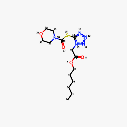 CCCCCCOC(=O)Cn1nnnc1SC(=O)N1CCOCC1